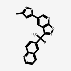 Cc1cc(-c2cnc3onc(C(F)(P)c4ccc5ncccc5c4)c3c2)sn1